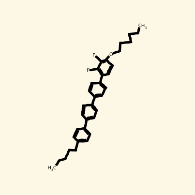 CCCCCCOc1ccc(-c2ccc(-c3ccc(-c4ccc(CCCCC)cc4)cc3)cc2)c(F)c1F